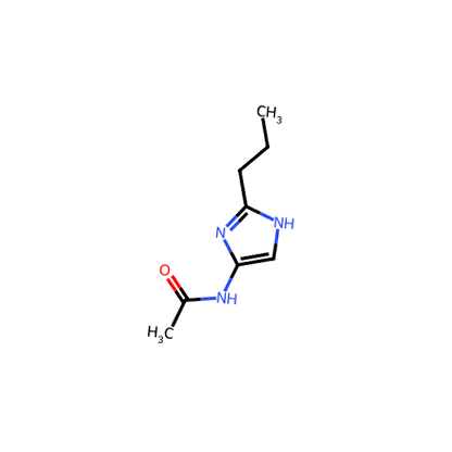 CCCc1nc(NC(C)=O)c[nH]1